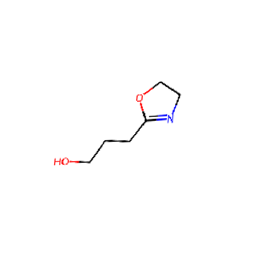 OCCCC1=NCCO1